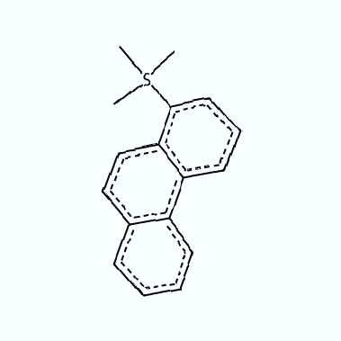 CS(C)(C)c1cccc2c1ccc1ccccc12